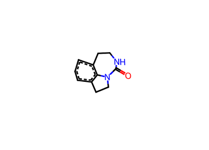 O=C1NCCc2cccc3c2N1CC3